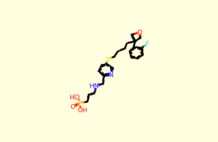 O=P(O)(O)CCCNCc1ccc(SCCCCC2(c3ccccc3F)COC2)cn1